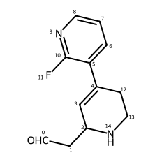 O=CCC1C=C(c2cccnc2F)CCN1